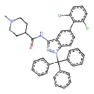 CN1CCC(C(=O)Nc2nn(C(c3ccccc3)(c3ccccc3)c3ccccc3)c3ccc(-c4c(Cl)cccc4Cl)cc23)CC1